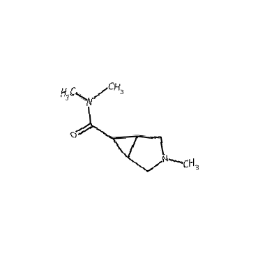 CN1CC2C(C1)C2C(=O)N(C)C